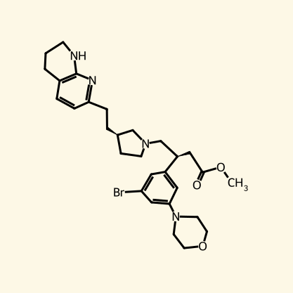 COC(=O)C[C@H](CN1CC[C@@H](CCc2ccc3c(n2)NCCC3)C1)c1cc(Br)cc(N2CCOCC2)c1